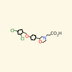 O=C(O)CCN1CCOC(c2ccc(OCc3ccc(Cl)cc3Cl)cc2)C1